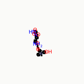 CC/C(=C(\c1ccc(O)cc1)c1ccc(OCCCCOc2cc(-c3ccc4c(c3)CN(C3CCC(=O)NC3=O)C4=O)ccc2N)cc1)c1ccccc1